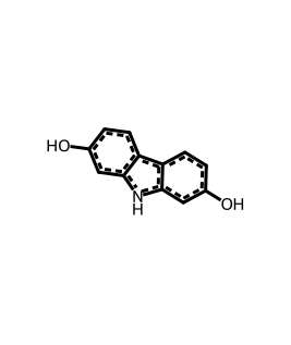 Oc1ccc2c(c1)[nH]c1cc(O)ccc12